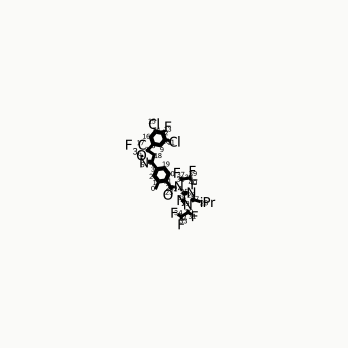 Cc1cc(C2=NOC(c3cc(Cl)c(F)c(Cl)c3)(C(F)(F)F)C2)ccc1C(=O)N(c1nc(C(C)C)n(C(F)C(F)F)n1)C(F)C(F)F